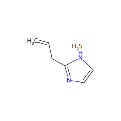 C=CCc1ncc[nH]1.S